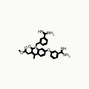 COC(=O)Cc1c(C)c2ccc(Oc3cccc(C(=N)N)c3)cc2n(Cc2cccc(C(=N)N)c2)c1=O